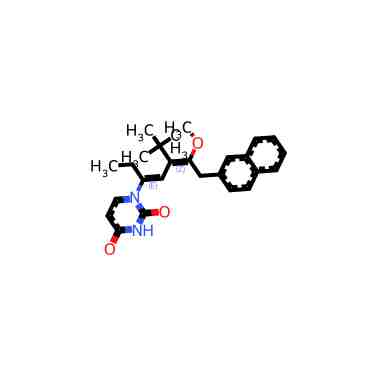 CC/C(=C\C(=C(/Cc1ccc2ccccc2c1)OC)C(C)(C)C)n1ccc(=O)[nH]c1=O